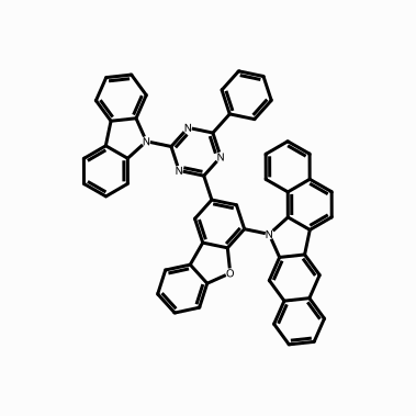 c1ccc(-c2nc(-c3cc(-n4c5cc6ccccc6cc5c5ccc6ccccc6c54)c4oc5ccccc5c4c3)nc(-n3c4ccccc4c4ccccc43)n2)cc1